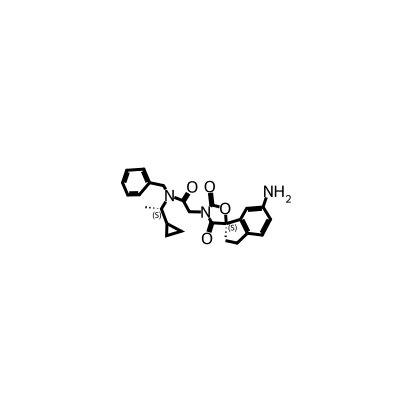 C[C@@H](C1CC1)N(Cc1ccccc1)C(=O)CN1C(=O)O[C@]2(CCc3ccc(N)cc32)C1=O